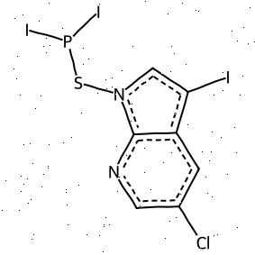 Clc1cnc2c(c1)c(I)cn2SP(I)I